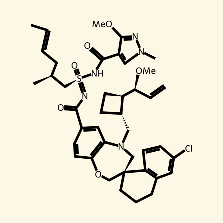 C=C[C@H](OC)[C@@H]1CC[C@H]1CN1C[C@@]2(CCCc3cc(Cl)ccc32)COc2ccc(C(=O)N=[S@@](=O)(C[C@@H](C)C/C=C/C)NC(=O)c3cn(C)nc3OC)cc21